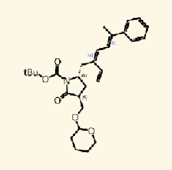 C=C/C(=C\C=C(/C)c1ccccc1)C[C@@H]1C[C@@H](COC2CCCCO2)C(=O)N1C(=O)OC(C)(C)C